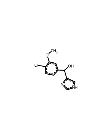 COc1cc(C(O)c2c[nH]cn2)ccc1Cl